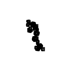 COC(=O)c1ccc2nc(CN3CCC(c4cccc(OCc5ccc(Cl)c6ccoc56)n4)CC3)n(C[C@@H]3CCCO3)c2c1